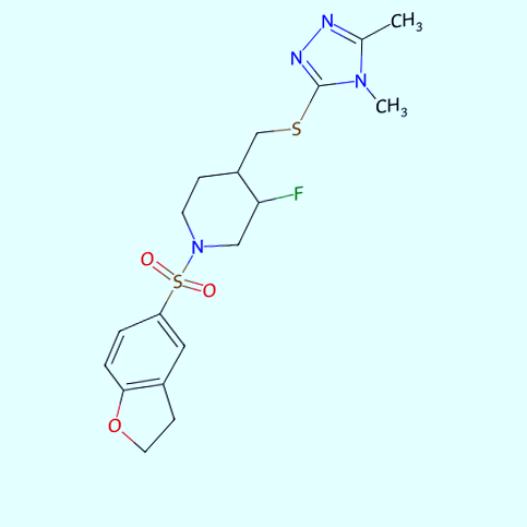 Cc1nnc(SCC2CCN(S(=O)(=O)c3ccc4c(c3)CCO4)CC2F)n1C